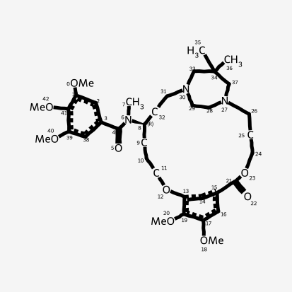 COc1cc(C(=O)N(C)[C@@H]2CCCOc3cc(cc(OC)c3OC)C(=O)OCCCN3CCN(CC2)CC(C)(C)C3)cc(OC)c1OC